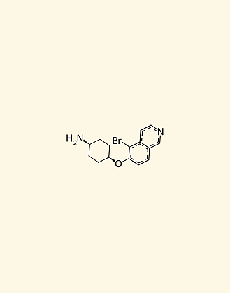 N[C@H]1CC[C@@H](Oc2ccc3cnccc3c2Br)CC1